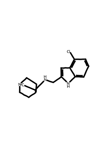 Clc1cccc2[nH]c(CNC3CN4CCC3CC4)cc12